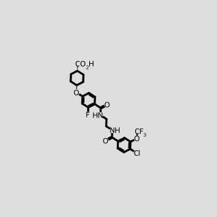 O=C(NCCNC(=O)c1ccc(O[C@H]2CC[C@@H](C(=O)O)CC2)cc1F)c1ccc(Cl)c(OC(F)(F)F)c1